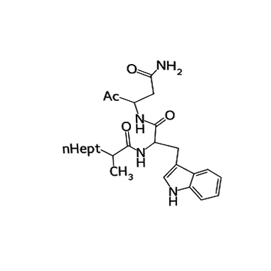 CCCCCCCC(C)C(=O)NC(Cc1c[nH]c2ccccc12)C(=O)NC(CC(N)=O)C(C)=O